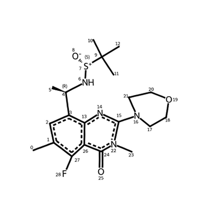 Cc1cc([C@@H](C)N[S@+]([O-])C(C)(C)C)c2nc(N3CCOCC3)n(C)c(=O)c2c1F